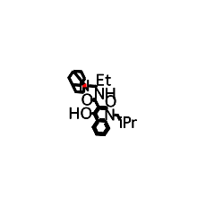 CCC(NC(=O)c1c(O)c2ccccc2n(CC(C)C)c1=O)N1C2CC3CC(C2)CC1C3